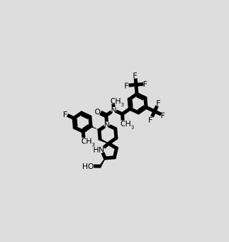 Cc1cc(F)ccc1[C@H]1C[C@]2(CC[C@@H](CO)N2)CCN1C(=O)N(C)C(C)c1cc(C(F)(F)F)cc(C(F)(F)F)c1